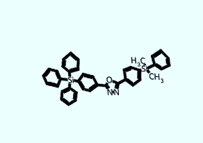 C[Si](C)(c1ccccc1)c1ccc(-c2nnc(-c3ccc([Si](c4ccccc4)(c4ccccc4)c4ccccc4)cc3)o2)cc1